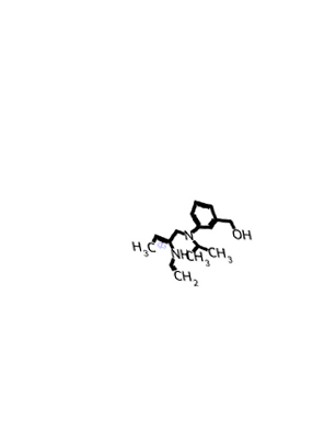 C=CN/C(=C\C)CN(c1cccc(CO)c1)C(C)C